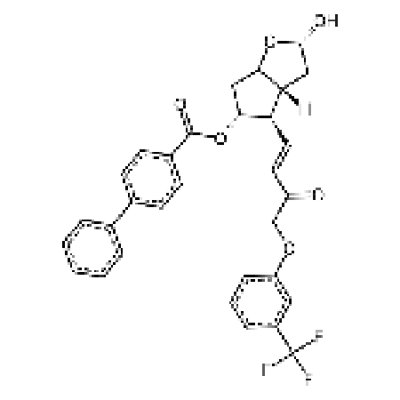 O=C(/C=C/[C@H]1[C@H](OC(=O)c2ccc(-c3ccccc3)cc2)CC2O[C@H](O)C[C@@H]21)COc1cccc(C(F)(F)F)c1